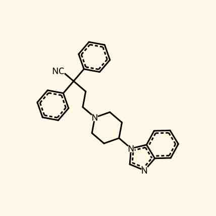 N#CC(CCN1CCC(n2cnc3ccccc32)CC1)(c1ccccc1)c1ccccc1